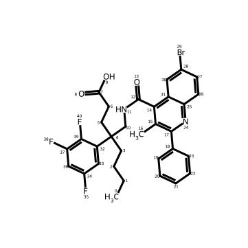 CCCCC(CCC(=O)O)(CNC(=O)c1c(C)c(-c2ccccc2)nc2ccc(Br)cc12)c1cc(F)cc(F)c1F